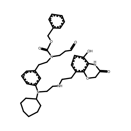 O=CCCN(CCc1cccc(N(CCNCCc2ccc(O)c3c2OCC(=O)N3)C2CCCCCC2)c1)C(=O)OCc1ccccc1